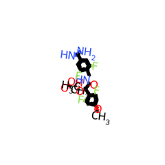 CC(=O)O.COc1cc(F)c(C(OC)C(=O)NCc2c(F)cc(C(=N)N)cc2F)c(F)c1